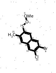 COOSc1cc2cc(Br)c(Cl)cc2cc1C